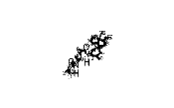 CC1CC(NC(=O)C(C)N2CC(NC(=O)OC(C)(C)C)C2)CN(c2ccc(C(F)F)c3ncccc23)C1